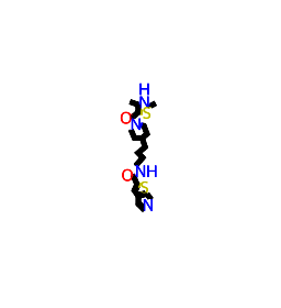 CC1NC(C)C(C(=O)N2CCC(CCCCNC(=O)c3cc4ccncc4s3)CC2)S1